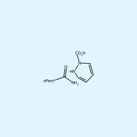 CCCCCC(N)=O.O=C(O)N1C=CC=CN1